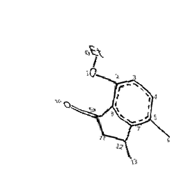 CCOc1ccc(C)c2c1C(=O)CC2C